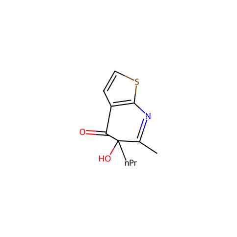 CCCC1(O)C(=O)c2ccsc2N=C1C